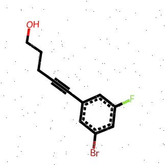 OCCCC#Cc1cc(F)cc(Br)c1